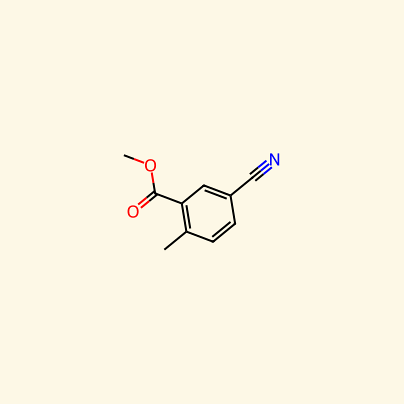 COC(=O)c1cc(C#N)ccc1C